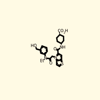 CCN(C(=O)Cn1c(C(=O)N[C@H]2CC[C@H](C(=O)O)CC2)cc2sccc21)c1cccc(CO)c1